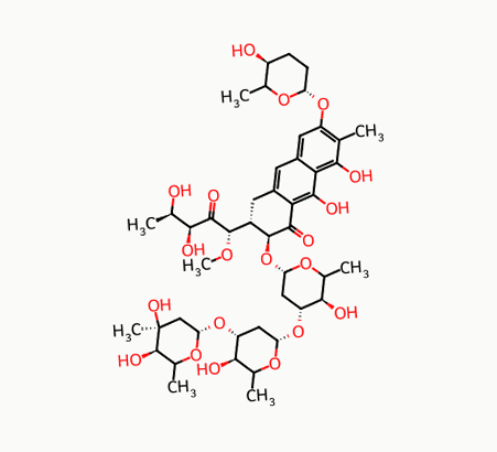 CO[C@H](C(=O)[C@@H](O)[C@@H](C)O)[C@@H]1Cc2cc3cc(O[C@H]4CC[C@H](O)C(C)O4)c(C)c(O)c3c(O)c2C(=O)[C@H]1O[C@H]1C[C@@H](O[C@H]2C[C@@H](O[C@H]3C[C@](C)(O)[C@H](O)C(C)O3)[C@H](O)C(C)O2)[C@H](O)C(C)O1